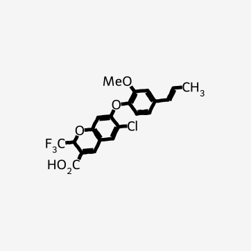 C/C=C/c1ccc(Oc2cc3c(cc2Cl)C=C(C(=O)O)C(C(F)(F)F)O3)c(OC)c1